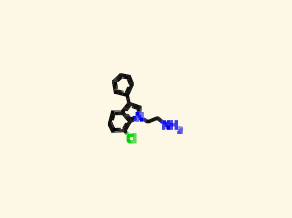 NCCn1cc(-c2ccccc2)c2cccc(Cl)c21